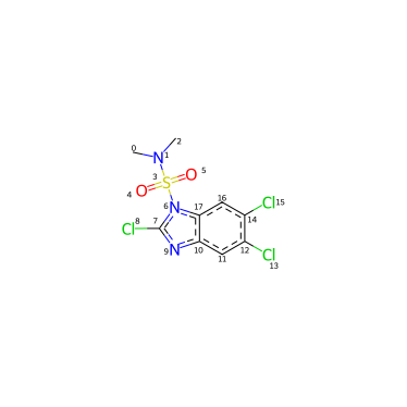 CN(C)S(=O)(=O)n1c(Cl)nc2cc(Cl)c(Cl)cc21